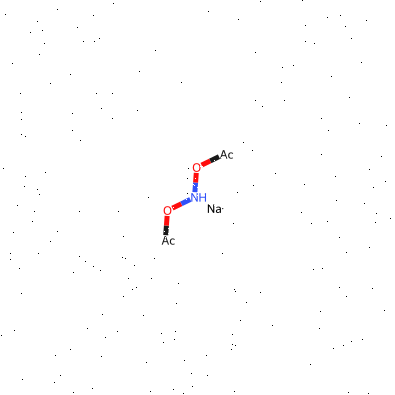 CC(=O)ONOC(C)=O.[Na]